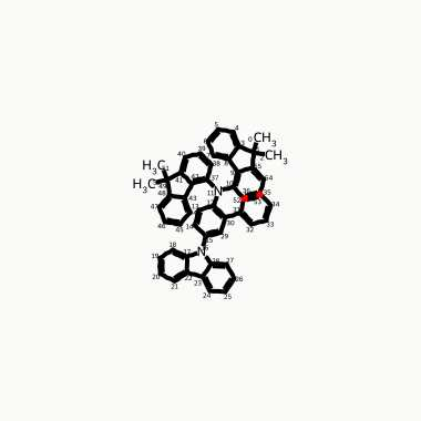 CC1(C)c2ccccc2-c2c(N(c3ccc(-n4c5ccccc5c5ccccc54)cc3-c3ccccc3)c3cccc4c3-c3ccccc3C4(C)C)cccc21